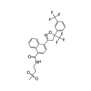 CS(=O)(=O)CCNC(=O)c1ccc(C2=NOC(c3cccc(C(F)(F)F)c3)(C(F)(F)F)C2)c2ccccc12